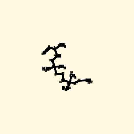 CC(C=O)NOC(C)(C)CCOC(C)(C)CCN